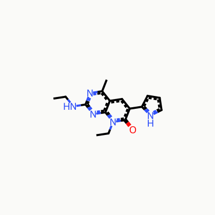 CCNc1nc(C)c2cc(-c3ccc[nH]3)c(=O)n(CC)c2n1